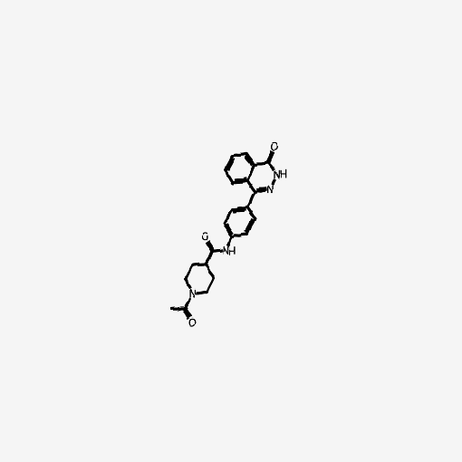 CC(=O)N1CCC(C(=O)Nc2ccc(-c3n[nH]c(=O)c4ccccc34)cc2)CC1